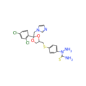 NC(=S)N(N)c1ccc(SCC2COC(Cn3ccnc3)(c3ccc(Cl)cc3Cl)O2)cc1